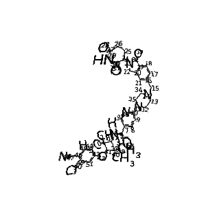 CC1(C)[C@H](NC(=O)c2ccc(N3CCN(Cc4ccc5c(c4)CN(C4CCC(=O)NC4=O)C5=O)CC3)nc2)C(C)(C)[C@H]1Oc1ccc(C#N)c(Cl)c1